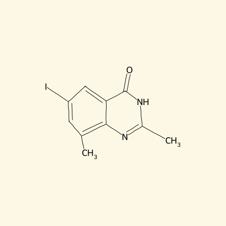 Cc1nc2c(C)cc(I)cc2c(=O)[nH]1